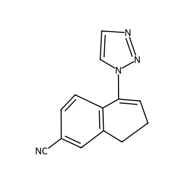 N#Cc1ccc2c(c1)CCC=C2n1ccnn1